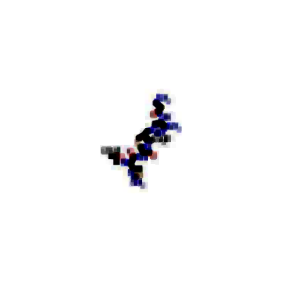 CC(C)(O/N=C(\C(=O)N[C@@H]1C(=O)N2C(C(=O)O)=C(C[n+]3cnc(N)c(NC(=O)CCN)c3)CSC12)c1csc(N)n1)C(=O)O